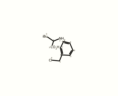 CCC(C)C(N)C(=O)O.ClCc1ccccc1